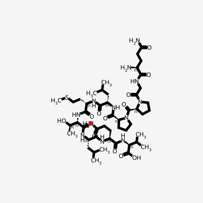 CSCC[C@H](NC(=O)[C@H](CC(C)C)NC(=O)[C@@H]1CCCN1C(=O)[C@@H]1CCCN1C(=O)CNC(=O)[C@@H](N)CCC(N)=O)C(=O)N[C@H](C(=O)N[C@@H](CC(C)C)C(=O)N[C@@H](CCC(N)=O)C(=O)N[C@H](C(=O)O)C(C)C)[C@@H](C)O